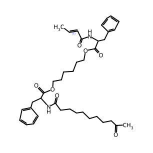 C/C=C/C(=O)NC(Cc1ccccc1)C(=O)OCCCCCCOC(=O)C(Cc1ccccc1)NC(=O)CCCCCCCCC(C)=O